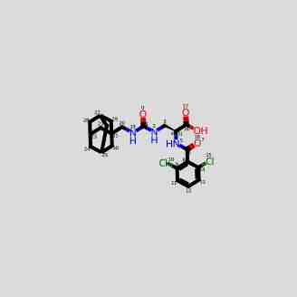 O=C(NC[C@H](NC(=O)c1c(Cl)cccc1Cl)C(=O)O)NCC12CC3CC(CC(C3)C1)C2